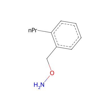 CCCc1ccccc1CON